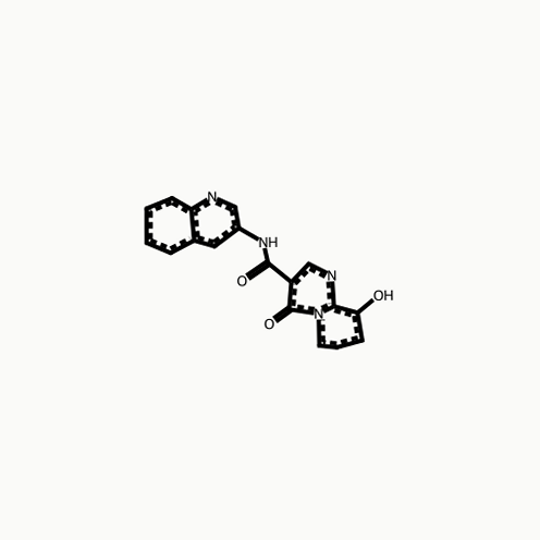 O=C(Nc1cnc2ccccc2c1)c1cnc2c(O)cccn2c1=O